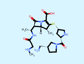 CNCC(=O)N[C@H](C)[C@H]1C(=O)N2C(C(=O)O)=C(S[C@@H]3CN[C@H](C(=O)N4CC[C@H](CN)C4)C3)[C@H](C)[C@H]12